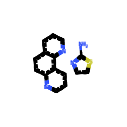 Nc1nccs1.c1cnc2c(c1)ccc1ncccc12